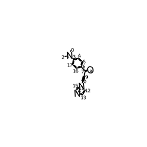 CN(C)c1ccc(C(=O)C#Cn2ccnc2)cc1